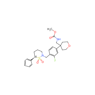 COC(=O)NCC1(c2ccc(CN3CCC[C@H](c4ccccc4)S3(=O)=O)c(F)c2)CCOCC1